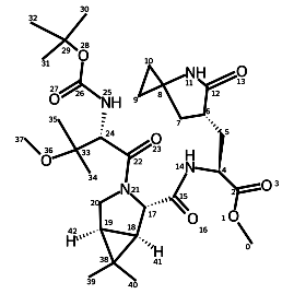 COC(=O)[C@H](C[C@@H]1CC2(CC2)NC1=O)NC(=O)[C@@H]1[C@@H]2[C@H](CN1C(=O)[C@@H](NC(=O)OC(C)(C)C)C(C)(C)OC)C2(C)C